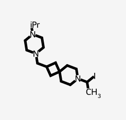 CC(C)N1CCN(CC2CC3(CCN(C(C)I)CC3)C2)CC1